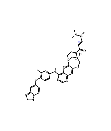 Cc1cc(Nc2ncnc3cc4c(nc23)N2CCN(C(=O)/C=C/[C@H](C)N(C)C)[C@@H](CO4)C2)ccc1Oc1ccn2ncnc2c1